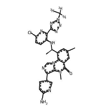 [2H]C([2H])([2H])n1nnc(-c2nc(Cl)ccc2NC(C)c2cc(C)cc3c(=O)n(C)c4c(-c5ccc(N)nc5)ncn4c23)n1